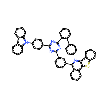 c1ccc(-c2ccccc2-c2nc(-c3ccc(-n4c5ccccc5c5ccccc54)cc3)nc(-c3cccc(-c4nc5c6ccccc6sc5c5ccccc45)c3)n2)cc1